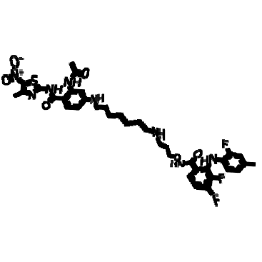 CC(=O)Nc1cc(NCCCCCCCNCCCONC(=O)c2ccc(F)c(F)c2Nc2ccc(C)cc2F)ccc1C(=O)Nc1nc(C)c([N+](=O)[O-])s1